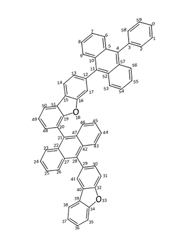 c1ccc(-c2c3ccccc3c(-c3ccc4c(c3)oc3c(-c5c6ccccc6c(-c6ccc7oc8ccccc8c7c6)c6ccccc56)cccc34)c3ccccc23)cc1